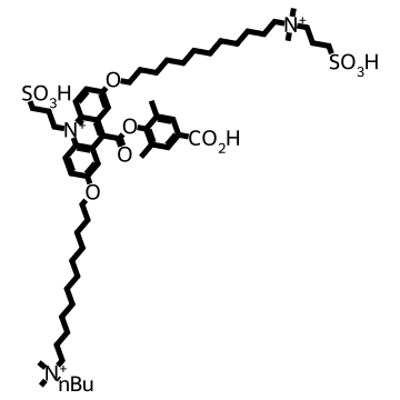 CCCC[N+](C)(C)CCCCCCCCCCCCOc1ccc2c(c1)c(C(=O)Oc1c(C)cc(C(=O)O)cc1C)c1cc(OCCCCCCCCCCCC[N+](C)(C)CCCS(=O)(=O)O)ccc1[n+]2CCCS(=O)(=O)O